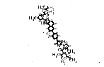 COC(=O)N[C@H](C(=O)N1[C@@H](C)CC[C@H]1c1ncc(-c2ccc3c(c2)COc2cc4c(ccc5nc([C@@H]6C[C@H](C)CN6C(=O)OC(C)(C)C)[nH]c54)cc2-3)[nH]1)C(C)C